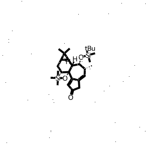 C[C@@H]1C=C2CC(=O)C=C2[C@@]2(O[Si](C)(C)C)[C@H](C)C[C@@H]3C([C@@H]2[C@@H]1O[Si](C)(C)C(C)(C)C)C3(C)C